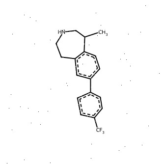 CC1CNCCc2cc(-c3ccc(C(F)(F)F)cc3)ccc21